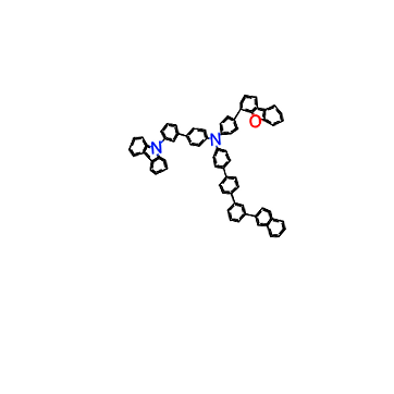 c1cc(-c2ccc(-c3ccc(N(c4ccc(-c5cccc(-n6c7ccccc7c7ccccc76)c5)cc4)c4ccc(-c5cccc6c5oc5ccccc56)cc4)cc3)cc2)cc(-c2ccc3ccccc3c2)c1